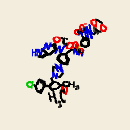 COC1(C)CCC(c2ccc(Cl)cc2)=C(CN2CCN(c3ccc(C(=O)NS(=O)(=O)c4ccc(NC[C@H]5COCCO5)c([N+](=O)[O-])c4)c(N4CCCOc5nc6[nH]ccc6cc54)c3)CC2)C1